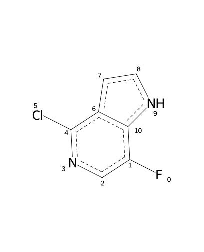 Fc1cnc(Cl)c2cc[nH]c12